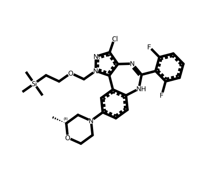 C[C@@H]1CN(c2ccc3c(c2)-c2c(c(Cl)nn2COCC[Si](C)(C)C)N=C(c2c(F)cccc2F)N3)CCO1